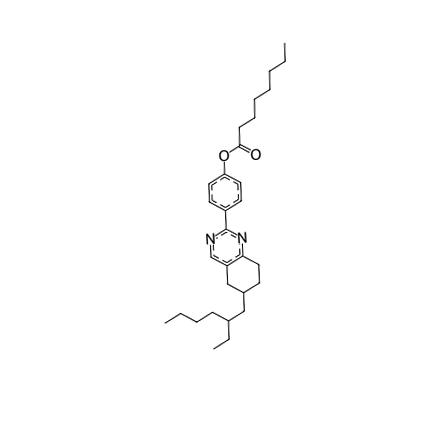 CCCCCCCC(=O)Oc1ccc(-c2ncc3c(n2)CCC(CC(CC)CCCC)C3)cc1